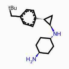 CC(C)(C)Cc1ccc([C@@H]2C[C@H]2N[C@H]2CC[C@H](N)CC2)cc1